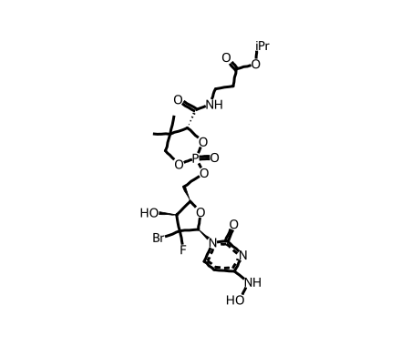 CC(C)OC(=O)CCNC(=O)[C@@H]1OP(=O)(OC[C@H]2O[C@@H](n3ccc(NO)nc3=O)C(F)(Br)[C@H]2O)OCC1(C)C